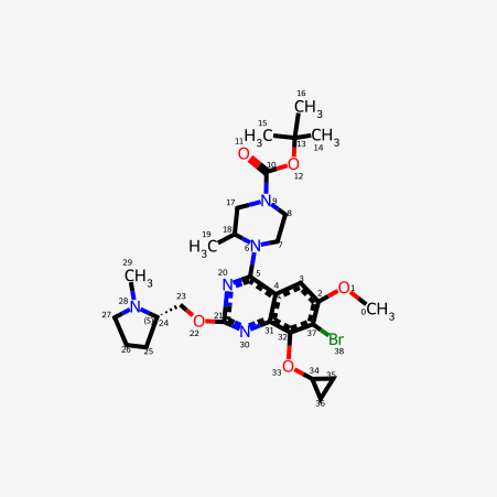 COc1cc2c(N3CCN(C(=O)OC(C)(C)C)CC3C)nc(OC[C@@H]3CCCN3C)nc2c(OC2CC2)c1Br